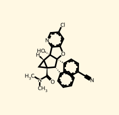 CN(C)C(=O)[C@@]12C[C@@H]1[C@@]1(O)c3ncc(Cl)cc3O[C@@]1(c1ccc(C#N)cc1)[C@@H]2c1ccccc1